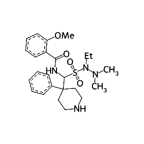 CCN(N(C)C)S(=O)(=O)C(NC(=O)c1ccccc1OC)C1(c2ccccc2)CCNCC1